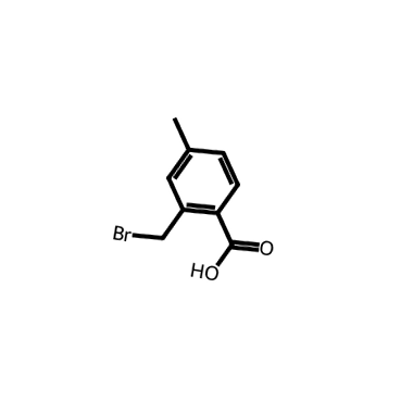 Cc1ccc(C(=O)O)c(CBr)c1